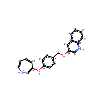 C1=CNC=C(Oc2ccc(COc3cnc4ccccc4c3)cc2)C=C1